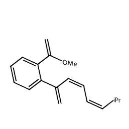 C=C(/C=C\C=C/C(C)C)c1ccccc1C(=C)OC